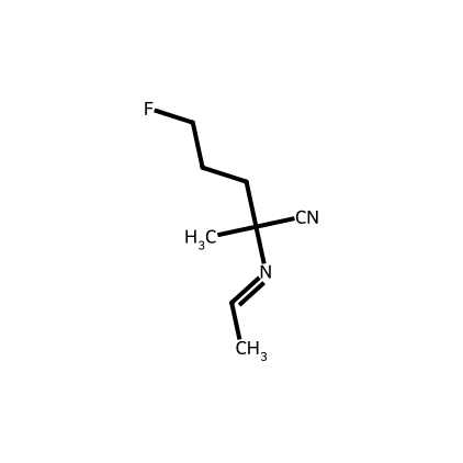 CC=NC(C)(C#N)CCCF